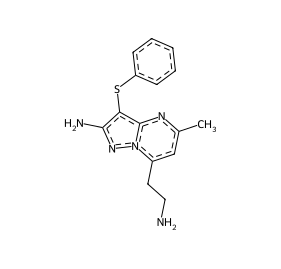 Cc1cc(CCN)n2nc(N)c(Sc3ccccc3)c2n1